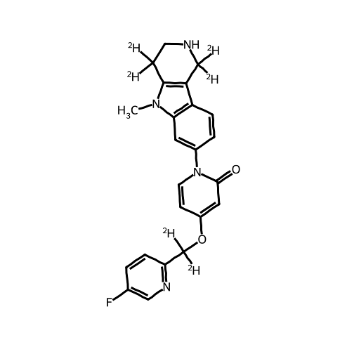 [2H]C1([2H])CNC([2H])([2H])c2c1n(C)c1cc(-n3ccc(OC([2H])([2H])c4ccc(F)cn4)cc3=O)ccc21